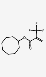 C=C(C(=O)OC1CCCCCCC1)C(F)(F)F